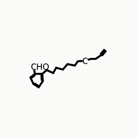 C#CCCCCCCCCCCc1ccccc1C=O